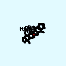 CCCC[SiH]=[Hf]([CH3])([CH3])([CH]1C=Cc2c(C)c3c(c(C)c21)CCC3)[CH]1C=Cc2c(C)c3c(c(C)c21)CCC3